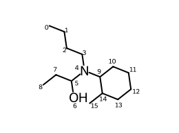 CCCCN(C(O)CC)C1CCCCC1C